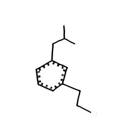 CCCc1c[c]cc(CC(C)C)c1